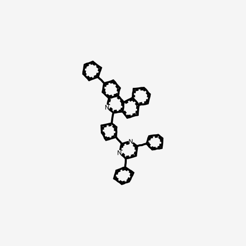 c1ccc(-c2ccc3c(c2)nc(-c2cccc(-c4nc(-c5ccccc5)cc(-c5ccccc5)n4)c2)c2ccc4ccccc4c23)cc1